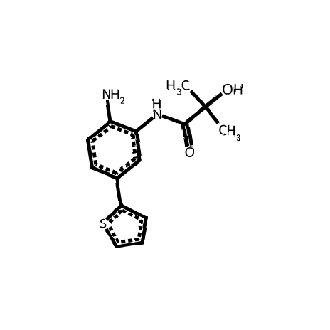 CC(C)(O)C(=O)Nc1cc(-c2cccs2)ccc1N